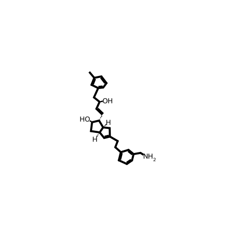 Cc1cccc(C[C@@H](O)/C=C/[C@@H]2[C@H]3CC(CCc4cccc(CN)c4)=C[C@H]3C[C@H]2O)c1